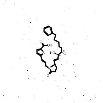 C[C@@H](CCCCCc1ccccc1)[C@H](O)C=CC1CCC(=O)N1CC=Cc1ccc(C(=O)O)s1